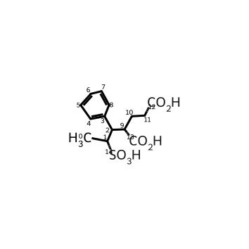 CC(C(c1ccccc1)C(CCC(=O)O)C(=O)O)S(=O)(=O)O